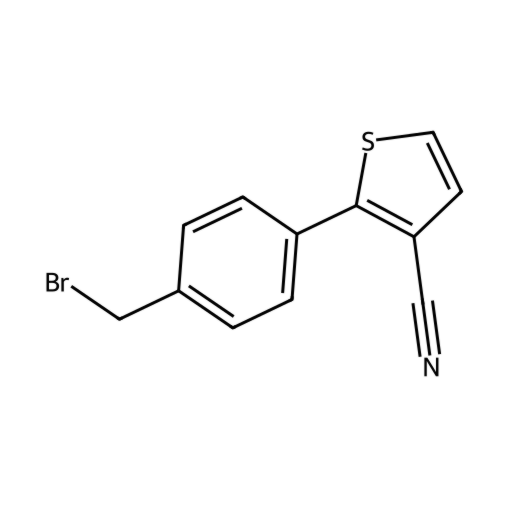 N#Cc1ccsc1-c1ccc(CBr)cc1